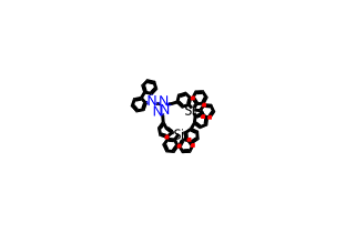 c1ccc([Si]2(c3ccccc3)c3cccc(c3)-c3nc(nc(-n4c5ccccc5c5ccccc54)n3)-c3cccc(c3)[Si](c3ccccc3)(c3ccccc3)c3ccccc3-c3ccccc32)cc1